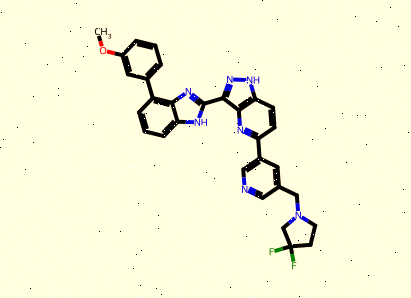 COc1cccc(-c2cccc3[nH]c(-c4n[nH]c5ccc(-c6cncc(CN7CCC(F)(F)C7)c6)nc45)nc23)c1